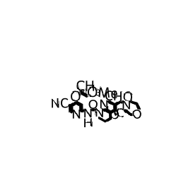 COC[C@@H](C)Oc1cc(NC(=O)N2CCCc3cc(CN4CC=COCC4=C=O)c(C=O)nc32)ncc1C#N